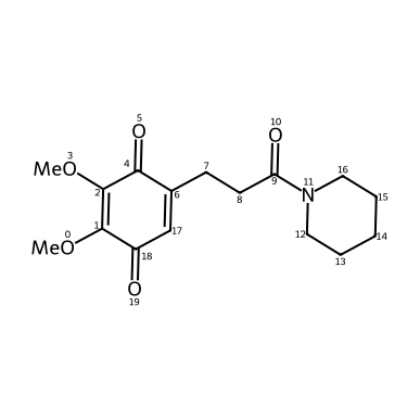 COC1=C(OC)C(=O)C(CCC(=O)N2CCCCC2)=CC1=O